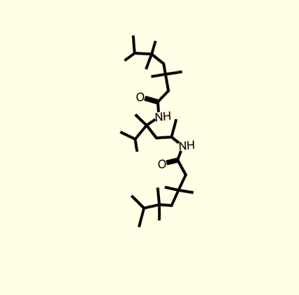 CC(CC(C)(NC(=O)CC(C)(C)CC(C)(C)C(C)C)C(C)C)NC(=O)CC(C)(C)CC(C)(C)C(C)C